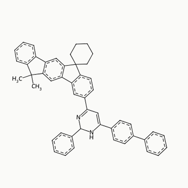 CC1(C)c2ccccc2-c2cc3c(cc21)-c1cc(C2=NC(c4ccccc4)NC(c4ccc(-c5ccccc5)cc4)=C2)ccc1C31CCCCC1